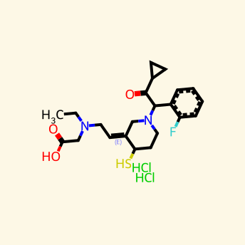 CCN(C/C=C1\CN(C(C(=O)C2CC2)c2ccccc2F)CCC1S)CC(=O)O.Cl.Cl